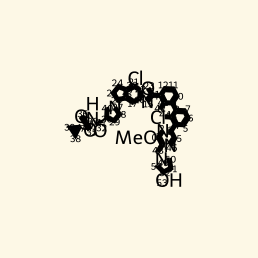 COc1nc(-c2cccc(-c3cccc(-c4nc5cc6c(c(Cl)c5o4)CC[C@H]6N4CC[C@@H](C(=O)NS(=O)(=O)C5CC5)C4)c3C)c2Cl)cnc1CN1CC[C@@H](O)C1